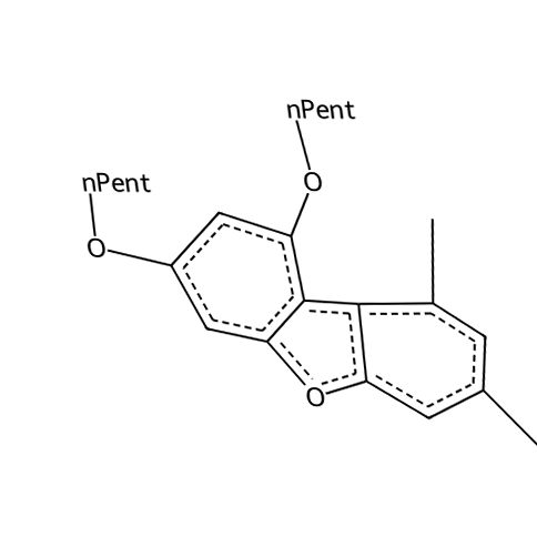 CCCCCOc1cc(OCCCCC)c2c(c1)oc1cc(C)cc(C)c12